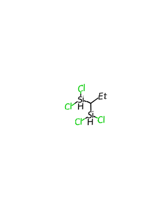 CCC([SiH](Cl)Cl)[SiH](Cl)Cl